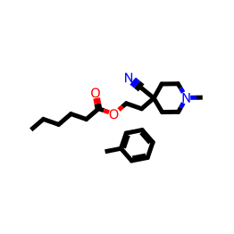 CCCCCC(=O)OCCC1(C#N)CCN(C)CC1.Cc1ccccc1